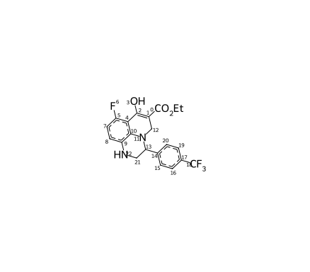 CCOC(=O)C1=C(O)c2c(F)ccc3c2N(C1)C(c1ccc(C(F)(F)F)cc1)CN3